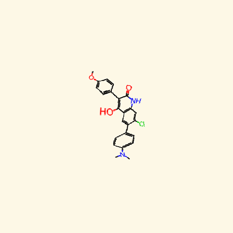 COc1ccc(-c2c(O)c3cc(-c4ccc(N(C)C)cc4)c(Cl)cc3[nH]c2=O)cc1